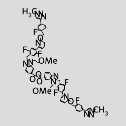 COCCn1c(Cc2cc(F)c(-c3cccc(OCc4ccc(-c5cn(C)nn5)cc4F)n3)cc2F)nc2ccc(C(=O)OC(=O)c3ccc4nc(Cc5cc(F)c(-c6cccc(OCc7ccc(-c8cn(C)nn8)cc7F)n6)cc5F)n(CCOC)c4c3)cc21